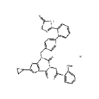 COc1ccccc1C(=O)Cn1c(=O)c2cc(C3CC3)sc2n(Cc2ccc(-c3ccccc3-c3noc(=O)[nH]3)cc2)c1=O.[K]